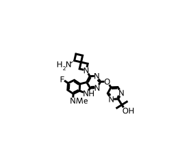 CNc1cc(F)cc2c1[nH]c1nc(Oc3cnc(C(C)(C)O)nc3)nc(N3CC4(CC[C@H]4N)C3)c12